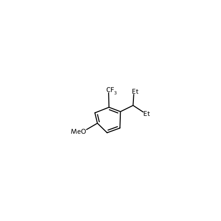 CCC(CC)c1ccc(OC)cc1C(F)(F)F